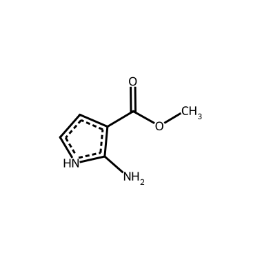 COC(=O)c1cc[nH]c1N